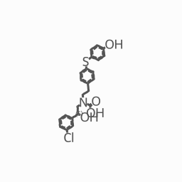 O=C(O)N(CCc1ccc(Sc2ccc(O)cc2)cc1)C[C@@H](O)c1cccc(Cl)c1